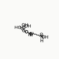 O=C(CCCCCCn1cc(-c2ccc(O[C@@H]3C[C@@H](O)[C@H](O)[C@@H](CO)O3)cc2)nn1)NO